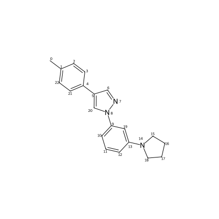 Cc1ccc(-c2cnn(-c3cccc(N4CCCC4)c3)c2)cc1